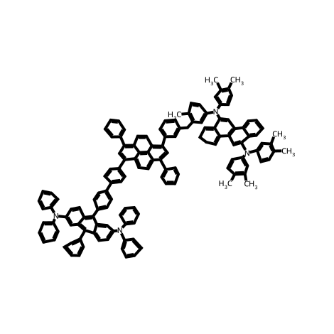 Cc1ccc(N(c2ccc(C)c(Cc3cccc(-c4cc(-c5ccccc5)c5ccc6c(-c7ccc(-c8ccc(-c9c%10ccc(N(c%11ccccc%11)c%11ccccc%11)cc%10c(-c%10ccccc%10)c%10ccc(N(c%11ccccc%11)c%11ccccc%11)cc9%10)cc8)cc7)cc(-c7ccccc7)c7ccc4c5c67)c3)c2)c2cc3c(cc(N(c4ccc(C)c(C)c4)c4ccc(C)c(C)c4)c4ccccc43)c3c2=CCCC=3)cc1C